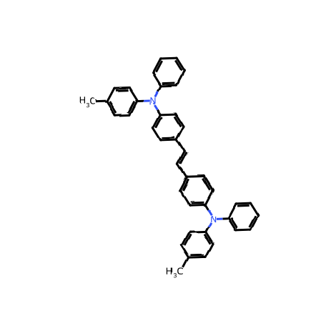 Cc1ccc(N(c2ccccc2)c2ccc(C=Cc3ccc(N(c4ccccc4)c4ccc(C)cc4)cc3)cc2)cc1